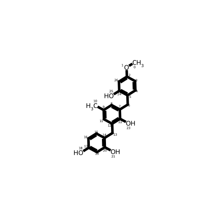 COc1ccc(Cc2cc(C)cc(Cc3ccc(O)cc3O)c2O)c(O)c1